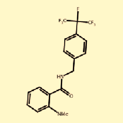 CNc1ccccc1C(=O)NCc1ccc(C(F)(C(F)(F)F)C(F)(F)F)cc1